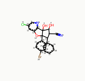 N#CC1C(O)C2(O)c3ncc(Cl)cc3OC2(c2ccc(Br)cc2)C1c1ccccc1